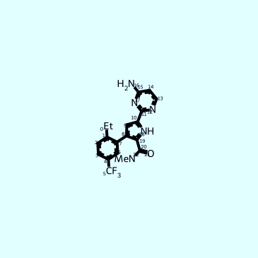 CCc1ccc(C(F)(F)F)cc1-c1cc(-c2nccc(N)n2)[nH]c1C(=O)NC